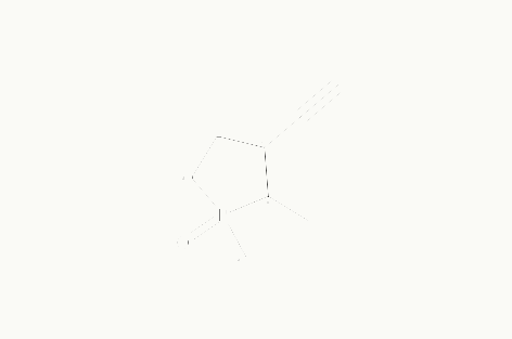 C#CC1CCP(C)(=O)C1C